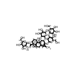 C=C1C[C@@]23CC[C@H]4[C@@](C)(CCC[C@@]4(C)C(=O)O[C@@H]4O[C@H](CO)[C@@H](O)[C@H](O)[C@H]4O)[C@@H]2CC[C@]1(O[C@@H]1O[C@H](CO)[C@@H](O)[C@H](O[C@@H]2O[C@H](CO)[C@@H](O)[C@H](O)[C@H]2O)[C@H]1O[C@@H]1O[C@@H](C)[C@H](O)[C@@H](O)[C@H]1O)C3